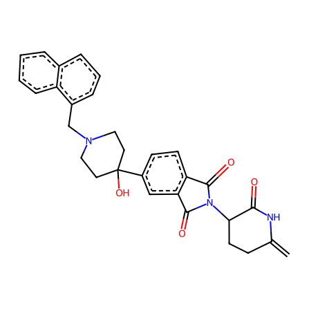 C=C1CCC(N2C(=O)c3ccc(C4(O)CCN(Cc5cccc6ccccc56)CC4)cc3C2=O)C(=O)N1